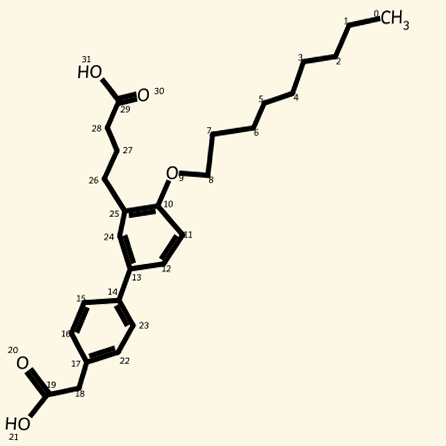 CCCCCCCCCOc1ccc(-c2ccc(CC(=O)O)cc2)cc1CCCC(=O)O